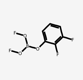 FOB(OF)Oc1cccc(F)c1F